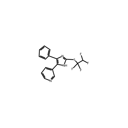 FC(F)C(F)(F)Sc1nc(-c2ccccc2)c(-c2cccnc2)[nH]1